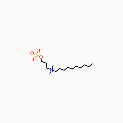 CCCCCCCCCC[N+](C)(C)CCCOS(=O)(=O)[O-]